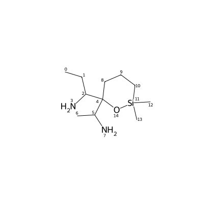 CCC(N)C1(C(C)N)CCC[Si](C)(C)O1